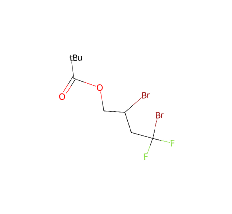 CC(C)(C)C(=O)OCC(Br)CC(F)(F)Br